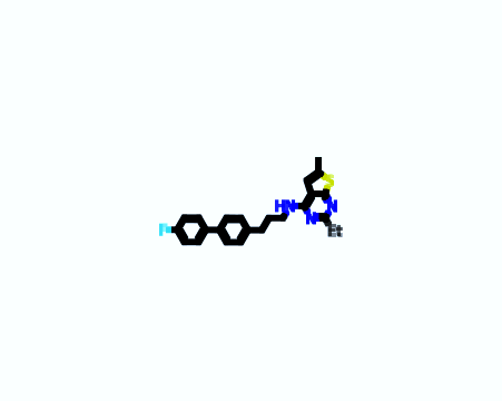 CCc1nc(NCCCc2ccc(-c3ccc(F)cc3)cc2)c2cc(C)sc2n1